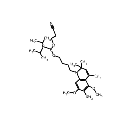 COc1cc2c(c(OC)c1N)C(C)=CC(C)(C)N2CCCCOP(OCCC#N)N(C(C)C)C(C)C